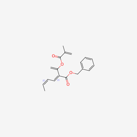 C=C(C)C(=O)OC(=C)/C(=C\C=C/C)C(=O)OCc1ccccc1